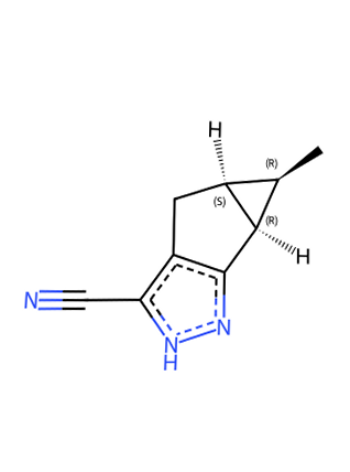 C[C@@H]1[C@@H]2Cc3c(n[nH]c3C#N)[C@H]12